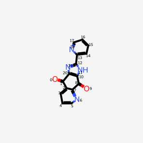 O=C1c2cccnc2C(=O)c2[nH]c(-c3ccccn3)nc21